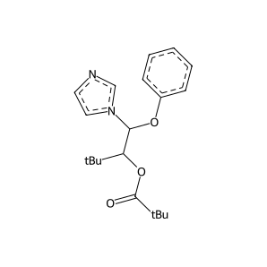 CC(C)(C)C(=O)OC(C(Oc1ccccc1)n1ccnc1)C(C)(C)C